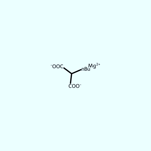 CCCCC(C(=O)[O-])C(=O)[O-].[Mg+2]